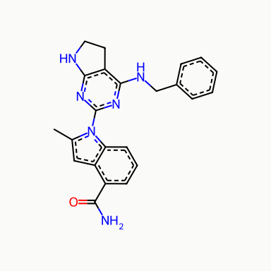 Cc1cc2c(C(N)=O)cccc2n1-c1nc2c(c(NCc3ccccc3)n1)CCN2